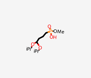 COP(=O)(O)CCCC(OC(C)C)OC(C)C